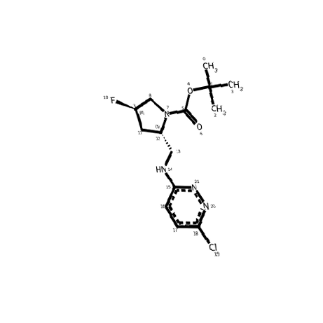 CC(C)(C)OC(=O)N1C[C@H](F)C[C@H]1CNc1ccc(Cl)nn1